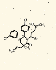 C=CC[C@@]1(C)C[C@H](c2cccc(Cl)c2)[C@@H](c2ccc(Cl)cc2)N(C(CC)CC[C@H](C)O)C1=O